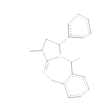 CC1CC(c2ccccc2)N2C1=NCc1ccccc1C2C